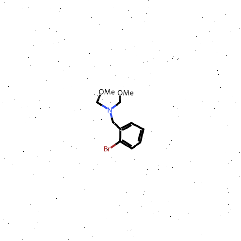 COCN(COC)Cc1ccccc1Br